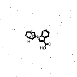 CN1[C@@H]2CC[C@H]1C[C@@H](n1cc(C(=O)O)c3ccccc31)C2